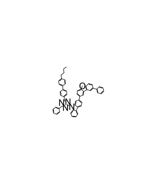 CCCCc1ccc(-c2ccc(-c3nc(-c4ccccc4)nc(-n4c5ccccc5c5ccc(-c6ccc7oc8ccc(-c9ccccc9)cc8c7c6)cc54)n3)cc2)cc1